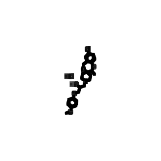 COc1ccc(OCC(O)CN2CCC3(CC2)OCc2cc(Cl)ccc2OC3C)cc1.Cl